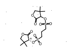 CC1(C)COC(=O)C1OS(=O)(=O)CCCS(=O)(=O)O[C@H]1C(=O)OCC1(C)C